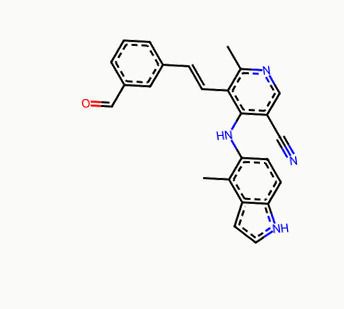 Cc1ncc(C#N)c(Nc2ccc3[nH]ccc3c2C)c1C=Cc1cccc(C=O)c1